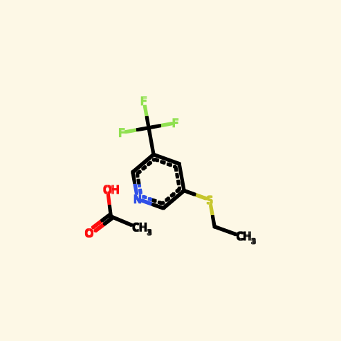 CC(=O)O.CCSc1cncc(C(F)(F)F)c1